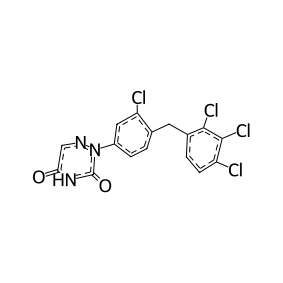 O=c1cnn(-c2ccc(Cc3ccc(Cl)c(Cl)c3Cl)c(Cl)c2)c(=O)[nH]1